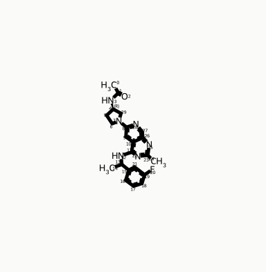 CC(=O)N[C@@H]1CCN(c2cc3c(NC(C)c4cccc(F)c4)nc(C)nc3cn2)C1